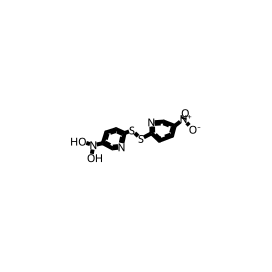 O=[N+]([O-])c1ccc(SSc2ccc(N(O)O)cn2)nc1